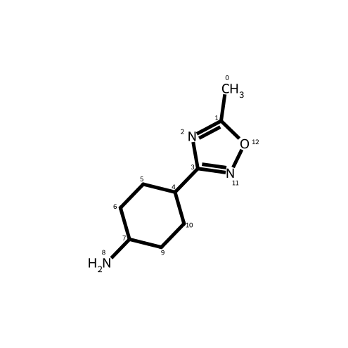 Cc1nc(C2CCC(N)CC2)no1